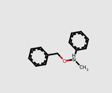 C[SiH](OCc1ccccc1)c1ccccc1